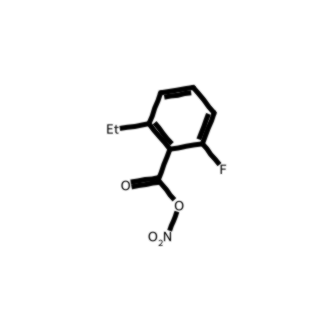 CCc1cccc(F)c1C(=O)O[N+](=O)[O-]